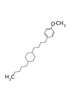 CCCCCC1CCC(CCCCc2ccc(OC)cc2)CC1